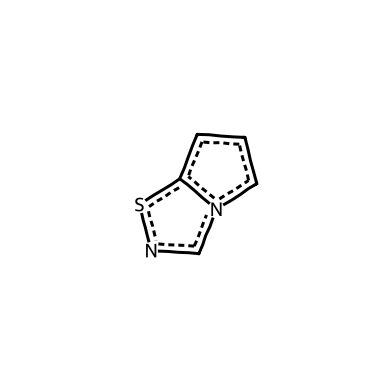 c1cc2sncn2c1